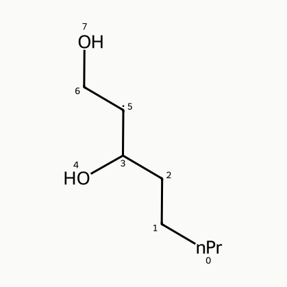 CCCCCC(O)[CH]CO